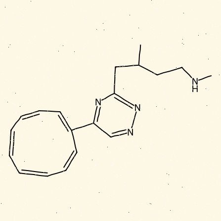 CNCCC(C)Cc1nncc(-c2ccccccccc2)n1